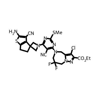 CCOC(=O)c1nn2c(c1Cl)CN(c1nc(SC)nc(N3CC4(CCc5sc(N)c(C#N)c54)C3)c1C#N)CC(F)(F)C2